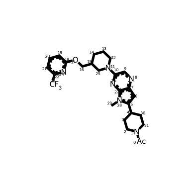 CC(=O)N1CCC(c2cc3ncc(N4CCCC(COc5cccc(C(F)(F)F)n5)C4)nc3n2C)CC1